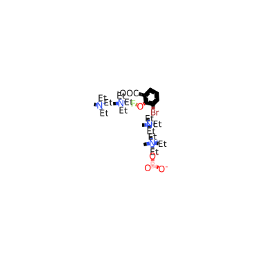 CC[N+](C)(CC)CC.CC[N+](C)(CC)CC.CC[N+](C)(CC)CC.CC[N+](C)(CC)CC.O=C([O-])c1cccc(Br)c1OF.[O-]B([O-])[O-]